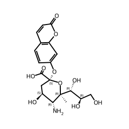 C[C@@]1([C@H](O)[C@H](O)CO)O[C@](Oc2ccc3ccc(=O)oc3c2)(C(=O)O)C[C@H](O)[C@H]1N